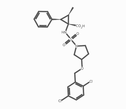 C[C@@H]1[C@H](c2ccccc2)[C@]1(NS(=O)(=O)N1CCC(OCc2cc(Cl)ccc2Cl)C1)C(=O)O